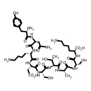 C[C@H](NC(=O)[C@@H](NC(=O)[C@H](CO)NC(=O)[C@H](CC(=O)O)NC(=O)[C@H](CCCCN)NC(=O)[C@H](CC(N)=O)NC(=O)[C@@H](N)Cc1ccc(O)cc1)[C@@H](C)O)C(=O)N[C@@H](CO)C(=O)N[C@@H](CCCCN)C(=O)O